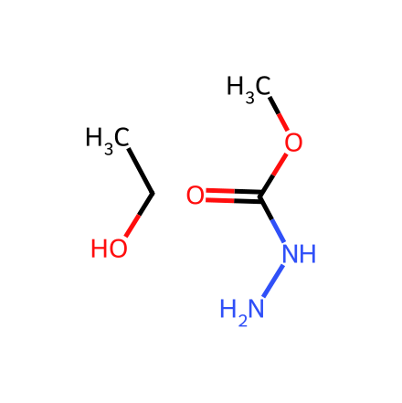 CCO.COC(=O)NN